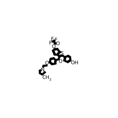 CC1CCN(CCOc2ccc(C(=O)c3c(-c4ccc(O)cc4)sc4cc(OC(=O)C(F)(F)F)ccc34)cc2)C1